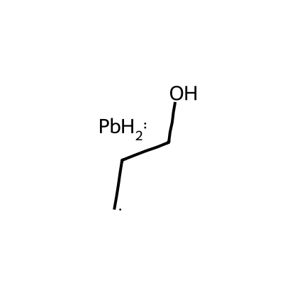 [CH2]CCO.[PbH2]